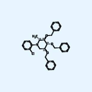 C[C@@H]1[C@@H](OCc2ccccc2)[C@H](OCc2ccccc2)[C@@H](OCc2ccccc2)CN1c1ccccc1Cl